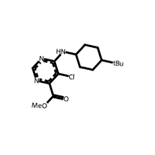 COC(=O)c1ncnc(NC2CCC(C(C)(C)C)CC2)c1Cl